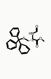 COC(=O)[C@H](CSC(c1ccccc1)(c1ccccc1)c1ccccc1)NC=O